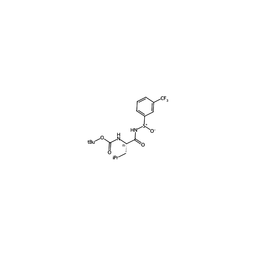 CC(C)C[C@H](NC(=O)OC(C)(C)C)C(=O)N[S+]([O-])c1cccc(C(F)(F)F)c1